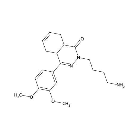 COc1ccc(C2=NN(CCCCN)C(=O)C3CC=CCC23)cc1OC